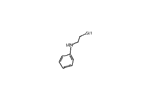 SCCNc1ccccc1